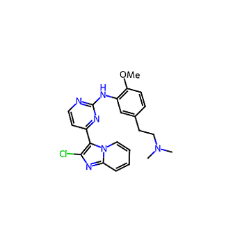 COc1ccc(CCN(C)C)cc1Nc1nccc(-c2c(Cl)nc3ccccn23)n1